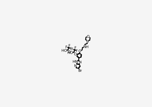 Brc1cnc2[nH]c(-c3ccc(OCCNCCN4CCOCC4)cc3)nc2c1.O=C(O)C(F)(F)F.O=C(O)C(F)(F)F